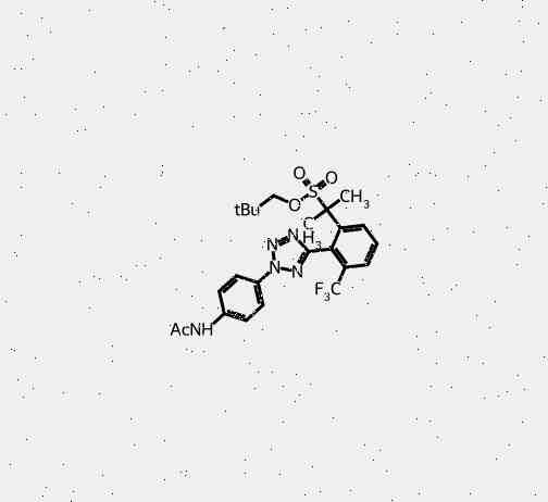 CC(=O)Nc1ccc(-n2nnc(-c3c(C(F)(F)F)cccc3C(C)(C)S(=O)(=O)OCC(C)(C)C)n2)cc1